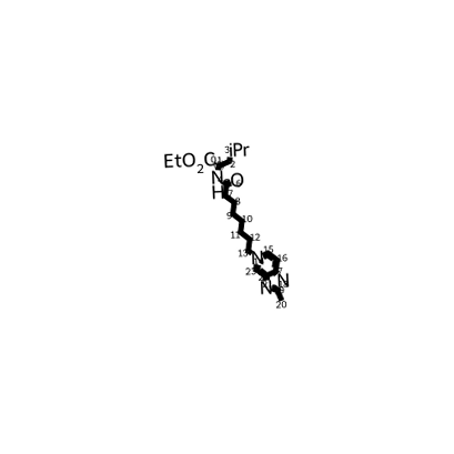 CCOC(=O)[C@H](CC(C)C)NC(=O)CCCCCCCn1ccc2nc(C)nc-2c1